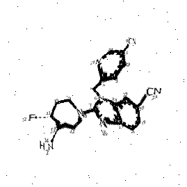 N#Cc1ccc(Cn2c(N3CC[C@@H](F)[C@H](N)C3)nc3ccc(C#N)cc32)nc1